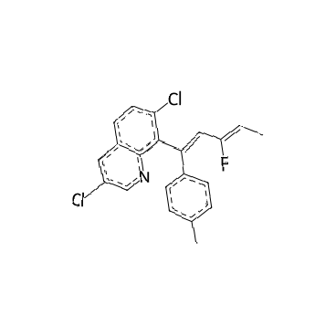 CC=C(F)C=C(c1ccc(C)cc1)c1c(Cl)ccc2cc(Cl)cnc12